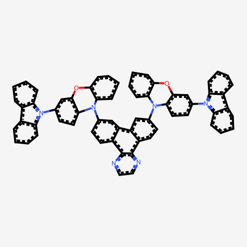 c1ccc2c(c1)Oc1cc(-n3c4ccccc4c4ccccc43)ccc1N2c1ccc2c(c1)c1cc(N3c4ccccc4Oc4cc(-n5c6ccccc6c6ccccc65)ccc43)ccc1c1nccnc21